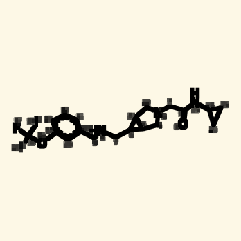 O=C(CN1CC2C(CNCc3cccc(OC(F)(F)F)c3)C2C1)NC1CC1